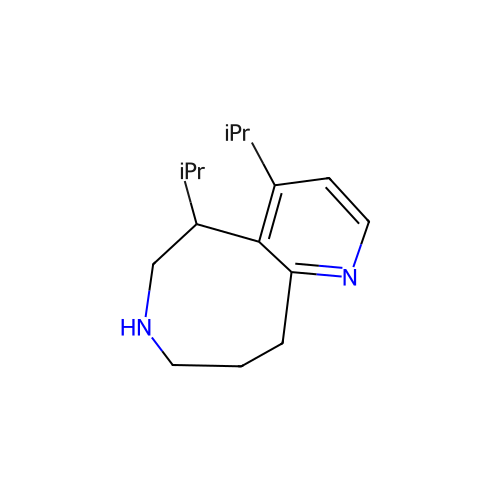 CC(C)c1ccnc2c1C(C(C)C)CNCCC2